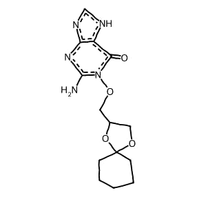 Nc1nc2nc[nH]c2c(=O)n1OCC1COC2(CCCCC2)O1